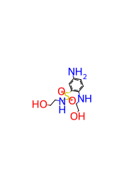 Nc1ccc(NCCO)c(S(=O)(=O)NCCO)c1